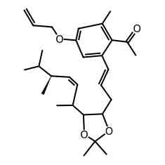 C=CCOc1cc(C)c(C(C)=O)c(/C=C/CC2OC(C)(C)OC2C(C)/C=C\[C@@H](C)C(C)C)c1